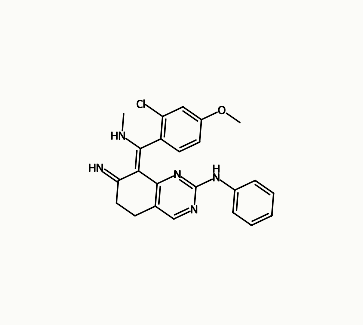 CN/C(=C1\C(=N)CCc2cnc(Nc3ccccc3)nc21)c1ccc(OC)cc1Cl